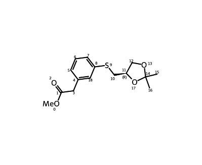 COC(=O)Cc1cccc(SC[C@H]2COC(C)(C)O2)c1